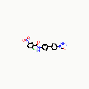 NN(C=O)c1ccc(-c2ccc(NC(=O)c3cc([N+](=O)[O-])ccc3Cl)cc2)cc1